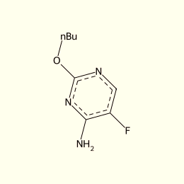 CCCCOc1ncc(F)c(N)n1